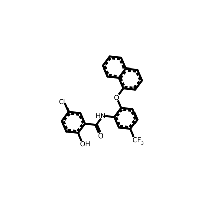 O=C(Nc1cc(C(F)(F)F)ccc1Oc1cccc2ccccc12)c1cc(Cl)ccc1O